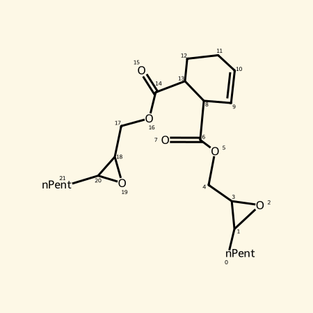 CCCCCC1OC1COC(=O)C1C=CCCC1C(=O)OCC1OC1CCCCC